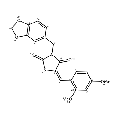 COc1ccc(/C=C2/SC(=S)N(Cc3ccc4c(c3)OCO4)C2=O)c(OC)c1